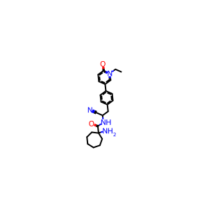 CCn1cc(-c2ccc(CC(C#N)NC(=O)C3(N)CCCCCC3)cc2)ccc1=O